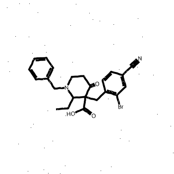 CCC1N(Cc2ccccc2)CCC(=O)C1(Cc1ccc(C#N)cc1Br)C(=O)O